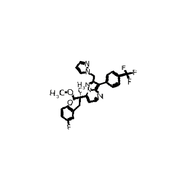 COC(=O)[C@](C)(Cc1cccc(F)c1)c1ccnc2c(-c3ccc(C(F)(F)F)cc3)c(Cn3cccn3)nn12